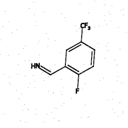 N=Cc1cc(C(F)(F)F)ccc1F